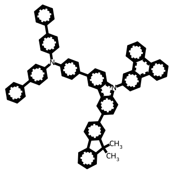 CC1(C)c2ccccc2-c2ccc(-c3ccc4c(c3)c3cc(-c5ccc(N(c6ccc(-c7ccccc7)cc6)c6ccc(-c7ccccc7)cc6)cc5)ccc3n4-c3ccc4c5ccccc5c5ccccc5c4c3)cc21